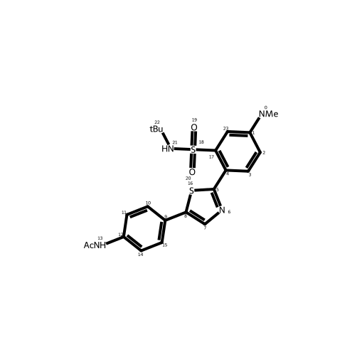 CNc1ccc(-c2ncc(-c3ccc(NC(C)=O)cc3)s2)c(S(=O)(=O)NC(C)(C)C)c1